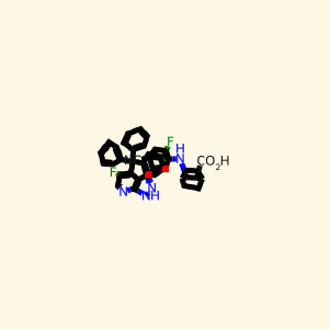 N#Cc1cc(F)c(NC2C3CCC(CC3)C2C(=O)O)cc1-c1n[nH]c2ncc(F)c(C(c3ccccc3)(c3ccccc3)c3ccccc3)c12